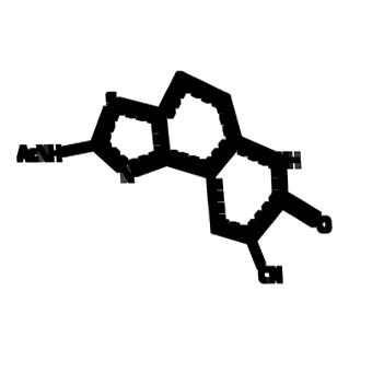 CC(=O)Nc1nc2c(ccc3[nH]c(=O)c(C#N)cc32)s1